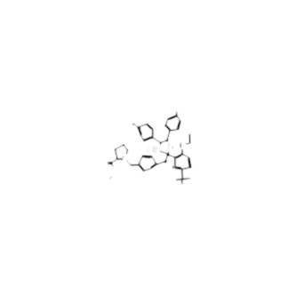 CCOc1ccc(C(F)(F)F)cc1C1(C(=O)c2ccc(CN3CCCC3C(=O)OC)cc2)NC(c2ccc(Cl)cc2)C(c2ccc(Cl)cc2)N1